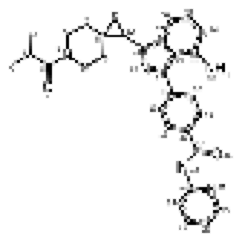 CC(C)C(=O)N1CCC2(CC1)CC2c1nc(-c2ccc(C(=O)Nc3ccccn3)cc2)c2c(N)nccn12